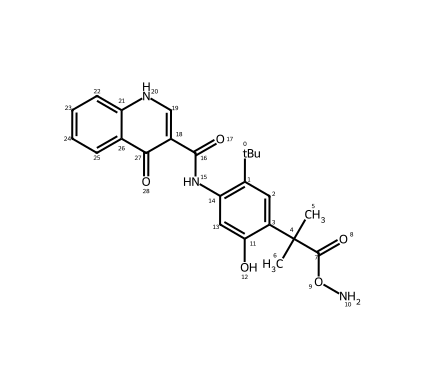 CC(C)(C)c1cc(C(C)(C)C(=O)ON)c(O)cc1NC(=O)c1c[nH]c2ccccc2c1=O